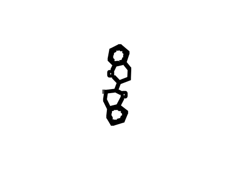 [C]1Cc2ccccc2OC1C1CCc2ccccc2O1